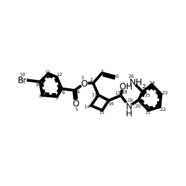 C=CC(OC(=O)c1ccc(Br)cc1)C1CCC1C(O)Nc1ccccc1N